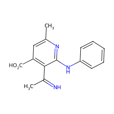 CC(=N)c1c(C(=O)O)cc(C)nc1Nc1ccccc1